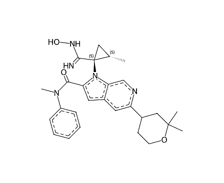 C[C@H]1C[C@]1(C(=N)NO)n1c(C(=O)N(C)c2ccccc2)cc2cc(C3CCOC(C)(C)C3)ncc21